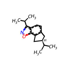 CC(C)c1noc2c3c(ccc12)C[C@@H](C(C)C)C3